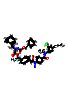 Cc1ccc(N(C)C(=O)c2ccc(NC(=O)Cc3ccc(C(F)(F)[C@H](C)OC(=O)[C@H](Cc4ccccc4)NC(=O)OCc4ccccc4)cc3)cc2)c(Cl)c1